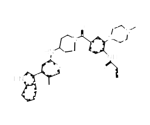 C=CC(=O)Nc1ccc(C(=O)N2CCC(Nc3cc(-c4c[nH]c5ccccc45)c(C)cn3)CC2)cc1N1CCN(C)CC1